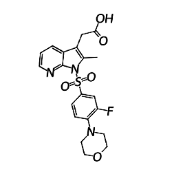 Cc1c(CC(=O)O)c2cccnc2n1S(=O)(=O)c1ccc(N2CCOCC2)c(F)c1